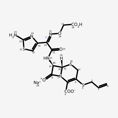 C=CCSC1=C(C(=O)[O-])N2C(=O)[C@@H](NC(=O)/C(=N\OCC(=O)O)c3csc(N)n3)[C@@H]2SC1.[Na+]